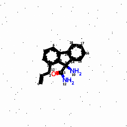 C=CCc1cccc2c1C(N)(C(N)=O)c1ccccc1-2